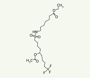 CCOC(=O)CCCCCCNS(=O)(=O)CCCCC(CCCCC(F)(F)F)OC(C)=O